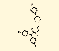 CN(CCCN1CCC(c2ccc(F)nc2)CC1)C(=O)C(c1ccc(F)cc1)c1ccc(F)cc1